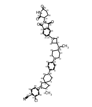 C[C@H]1CC2(CCN(c3ccc(N4CCC(N(C)C5CN(c6ccc7c(c6)C(=O)N(C6CCC(=O)NC6=O)C7=O)C5)CC4)cc3)CC2)CN1c1ccc(C#N)c(Cl)c1